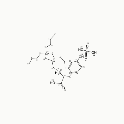 CCCC[N+](CCCC)(CCCC)CCCC.NC(Cc1ccc(O)cc1)C(=O)O.O=S(=O)(O)O